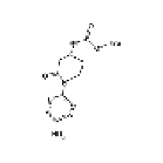 CC(C)(C)OC(=O)NC1CCN(c2ccc(N)nc2)C(=O)C1